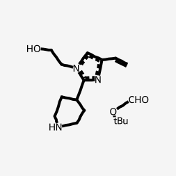 C=Cc1cn(CCO)c(C2CCNCC2)n1.CC(C)(C)OC=O